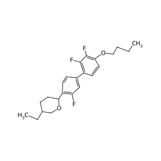 CCCCOc1ccc(-c2ccc(C3CCC(CC)CO3)c(F)c2)c(F)c1F